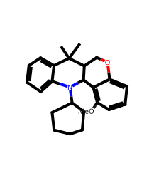 COc1cccc2c1C1C(CO2)C(C)(C)c2ccccc2N1C1CCCCC1